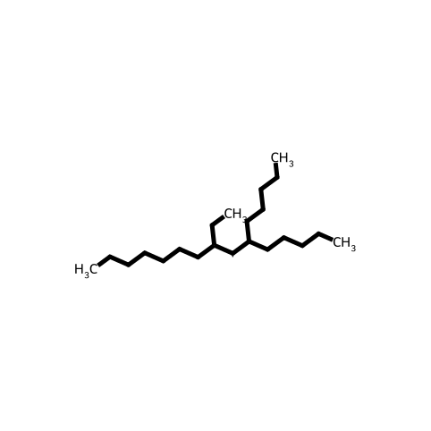 CCCCCCCC([CH]C(CCCCC)CCCCC)CC